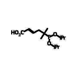 CC(C)OP(OC(C)C)C(C)(C)C/C=C/C(=O)O